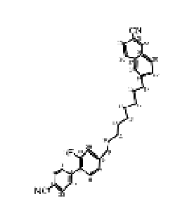 N#Cc1ccc(-c2ccc(CCCCCCCCCc3ccc4cc(C#N)ccc4c3)cc2F)cc1